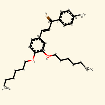 CCCCCCCCCCCCCCCOc1ccc(C=CC(=S)c2ccc(CCC)cc2)cc1OCCCCCCCCCCCCCCC